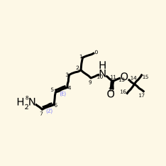 CCC(C/C=C/C=C\N)CNC(=O)OC(C)(C)C